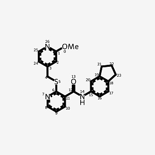 COc1cc(CSc2ncccc2C(=O)Nc2ccc3c(c2)CCC3)ccn1